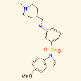 COc1ccc2c(ccn2S(=O)(=O)c2cccc(NCC3CCN(C)CC3)c2)c1